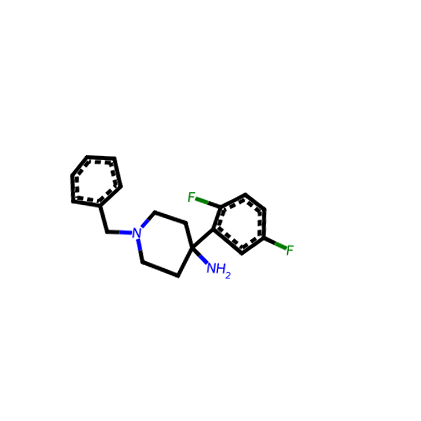 NC1(c2cc(F)ccc2F)CCN(Cc2ccccc2)CC1